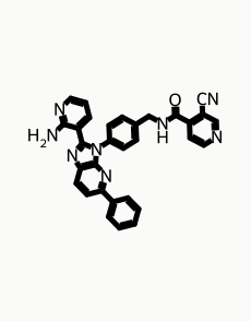 N#Cc1cnccc1C(=O)NCc1ccc(-n2c(-c3cccnc3N)nc3ccc(-c4ccccc4)nc32)cc1